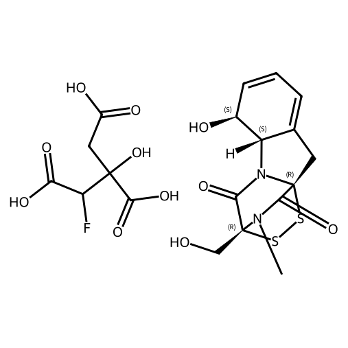 CN1C(=O)[C@]23CC4=CC=C[C@H](O)[C@H]4N2C(=O)[C@@]1(CO)SS3.O=C(O)CC(O)(C(=O)O)C(F)C(=O)O